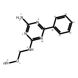 CCCOCNc1nc(N)nc(-c2ccccc2)n1